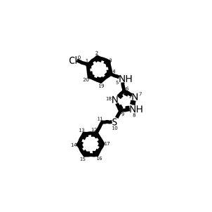 Clc1ccc(Nc2n[nH]c(SCc3ccccc3)n2)cc1